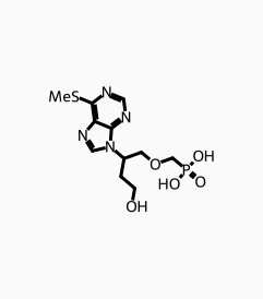 CSc1ncnc2c1ncn2C(CCO)COCP(=O)(O)O